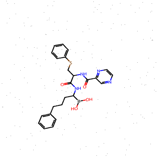 O=C(NC(CSc1ccccc1)C(=O)NC(CCCc1ccccc1)B(O)O)c1cnccn1